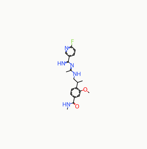 CNC(=O)c1ccc(C(C)CN/C(C)=N/C(=N)c2ccc(F)nc2)c(OC)c1